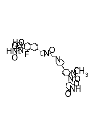 Cn1c(=O)n(C2CCC(=O)NC2=O)c2ccc(C3CCN(CCC(=O)N4CC[C@H](c5ccc6cc(O)c(N7CC(=O)NS7(=O)=O)c(F)c6c5)C4)CC3)cc21